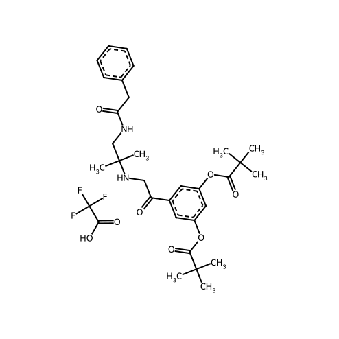 CC(C)(CNC(=O)Cc1ccccc1)NCC(=O)c1cc(OC(=O)C(C)(C)C)cc(OC(=O)C(C)(C)C)c1.O=C(O)C(F)(F)F